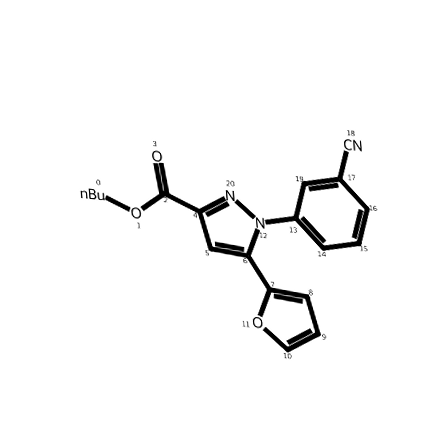 CCCCOC(=O)c1cc(-c2ccco2)n(-c2cccc(C#N)c2)n1